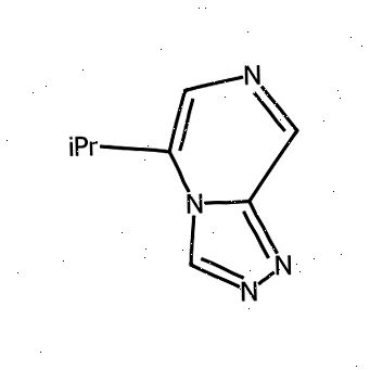 CC(C)c1cncc2nncn12